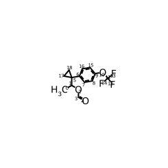 CC(OC=O)C1(c2ccc(OC(F)(F)F)cc2)CC1